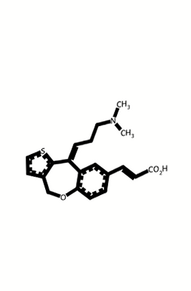 CN(C)CC/C=C1\c2cc(/C=C/C(=O)O)ccc2OCc2ccsc21